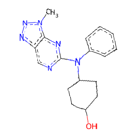 Cn1nnc2cnc(N(c3ccccc3)C3CCC(O)CC3)nc21